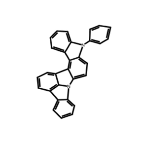 c1ccc(-n2c3ccccc3c3c4c5cccc6c7ccccc7n(c4ccc32)c65)cc1